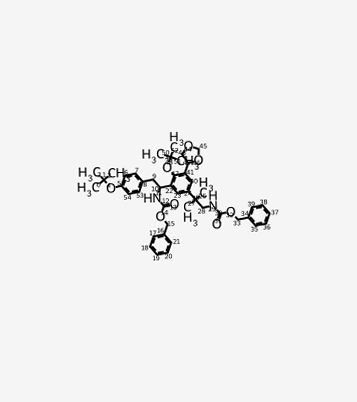 CC(C)(C)Oc1ccc(CC(NC(=O)OCc2ccccc2)c2cc(C(C)(C)CNC(=O)OCc3ccccc3)cc(C3COCO3)c2OC(C)(C)C)cc1